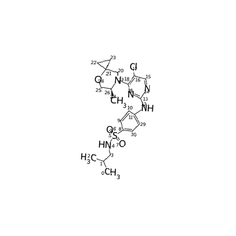 CC(C)CNS(=O)(=O)c1ccc(Nc2ncc(Cl)c(N3CC4(CC4)OC[C@@H]3C)n2)cc1